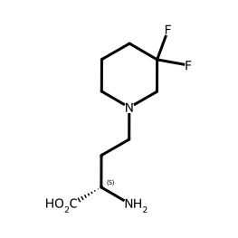 N[C@@H](CCN1CCCC(F)(F)C1)C(=O)O